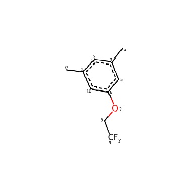 Cc1[c]c(C)cc(OCC(F)(F)F)c1